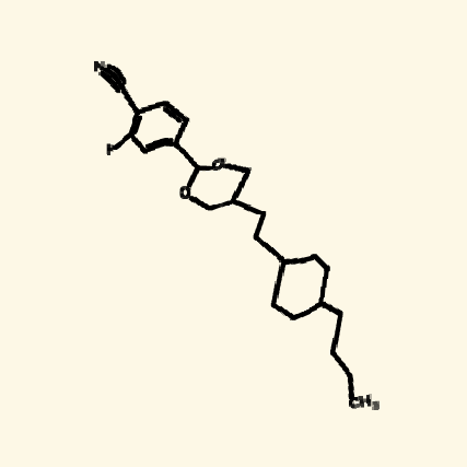 CCCCC1CCC(CCC2COC(c3ccc(C#N)c(F)c3)OC2)CC1